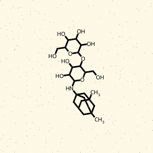 CC12CC3CC(C)(C1)CC(NC1OC(CO)C(OC4OC(CO)C(O)C(O)C4O)C(O)C1O)(C3)C2